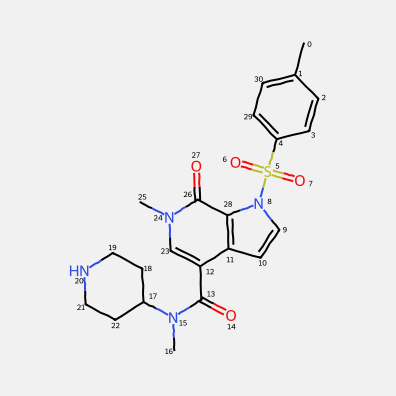 Cc1ccc(S(=O)(=O)n2ccc3c(C(=O)N(C)C4CCNCC4)cn(C)c(=O)c32)cc1